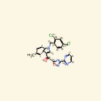 Cc1ccc2c(c1)c(C(=O)c1nc(-c3ncccn3)no1)cn2Cc1ccc(Cl)cc1Cl